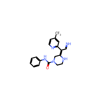 N=C/C(=C1/CN(C(=O)Nc2ccccc2)CCN1)c1cc(C(F)(F)F)ccn1